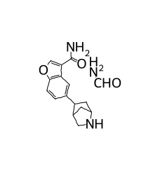 NC(=O)c1coc2ccc(C3CC4CC3CN4)cc12.NC=O